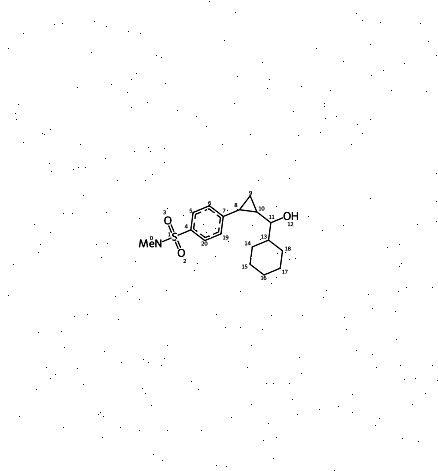 CNS(=O)(=O)c1ccc(C2CC2C(O)C2CCCCC2)cc1